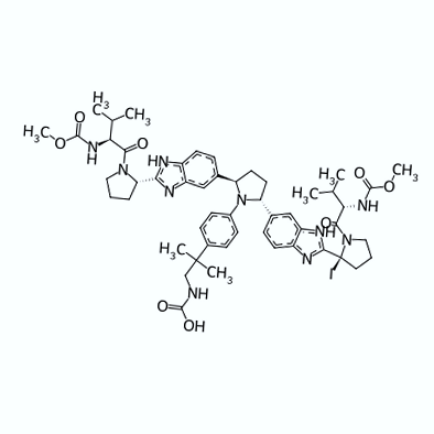 COC(=O)N[C@H](C(=O)N1CCC[C@H]1c1nc2cc([C@H]3CC[C@H](c4ccc5nc([C@@]6(I)CCCN6C(=O)[C@@H](NC(=O)OC)C(C)C)[nH]c5c4)N3c3ccc(C(C)(C)CNC(=O)O)cc3)ccc2[nH]1)C(C)C